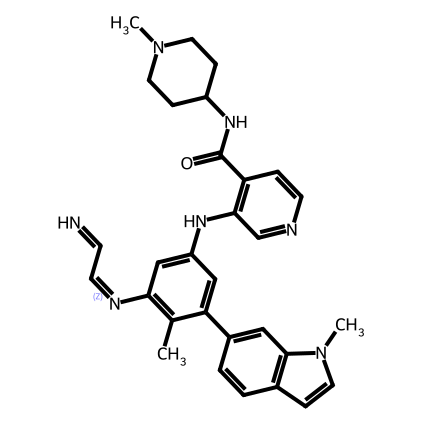 Cc1c(/N=C\C=N)cc(Nc2cnccc2C(=O)NC2CCN(C)CC2)cc1-c1ccc2ccn(C)c2c1